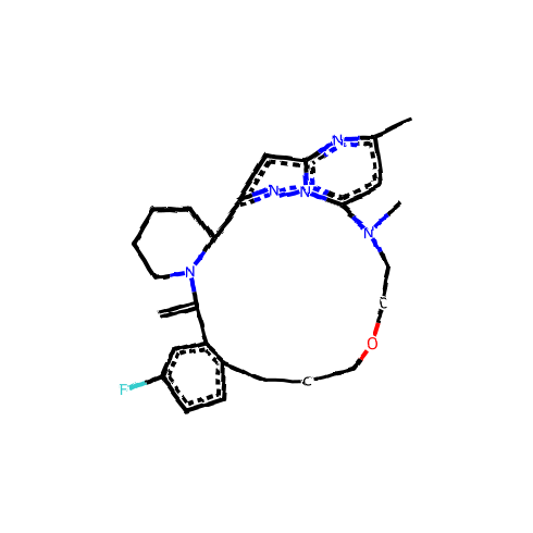 C=C1c2cc(F)ccc2CCCOCCN(C)c2cc(C)nc3cc(nn23)C2CCCCN12